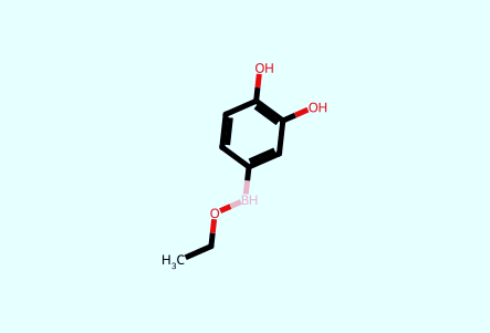 CCOBc1ccc(O)c(O)c1